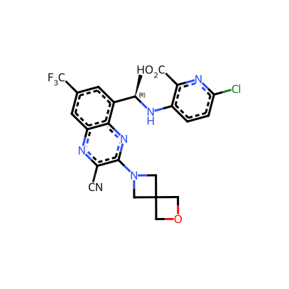 C[C@@H](Nc1ccc(Cl)nc1C(=O)O)c1cc(C(F)(F)F)cc2nc(C#N)c(N3CC4(COC4)C3)nc12